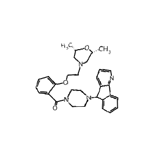 C[C@@H]1CN(CCOc2ccccc2C(=O)N2CCN(C3c4ccccc4-c4ncccc43)CC2)C[C@H](C)O1